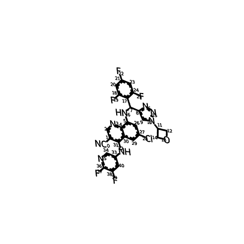 N#Cc1cnc2c(N[C@H](c3cn(C4COC4)nn3)c3c(F)cc(F)cc3F)cc(Cl)cc2c1Nc1cnc(F)c(F)c1